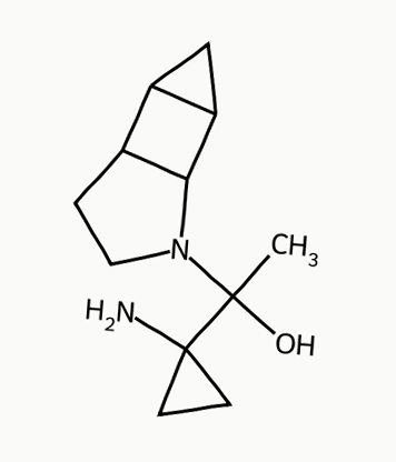 CC(O)(N1CCC2C3CC3C21)C1(N)CC1